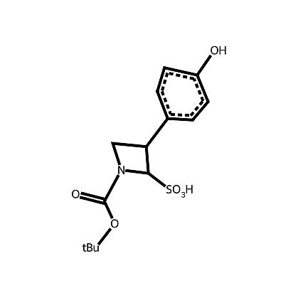 CC(C)(C)OC(=O)N1CC(c2ccc(O)cc2)C1S(=O)(=O)O